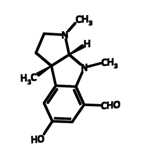 CN1CC[C@@]2(C)c3cc(O)cc(C=O)c3N(C)[C@@H]12